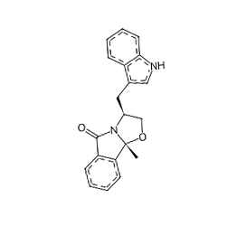 C[C@]12OC[C@H](Cc3c[nH]c4ccccc34)N1C(=O)c1ccccc12